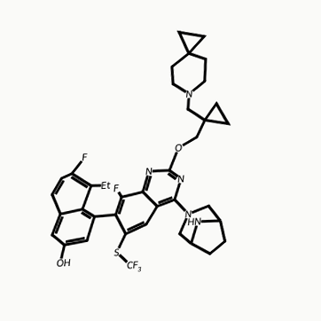 CCc1c(F)ccc2cc(O)cc(-c3c(SC(F)(F)F)cc4c(N5CC6CCC(C5)N6)nc(OCC5(CN6CCC7(CC6)CC7)CC5)nc4c3F)c12